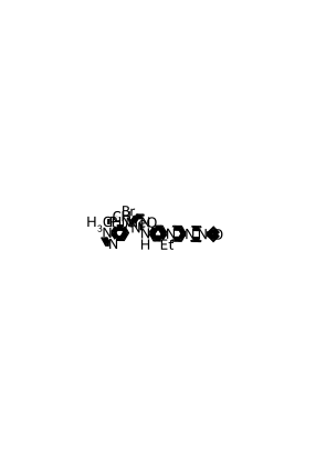 CCc1cc(Nc2ncc(Br)c(Nc3ccc4nccnc4c3P(C)C)n2)c(OC)cc1N1CCC(N2CCN(C3COC3)CC2)CC1